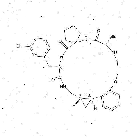 CCC(C)[C@@H]1NCCOc2ccccc2[C@H]2C[C@@H]2CNC(=O)[C@H](Cc2cccc(Cl)c2)NC(=O)C2(CCCC2)NC1=O